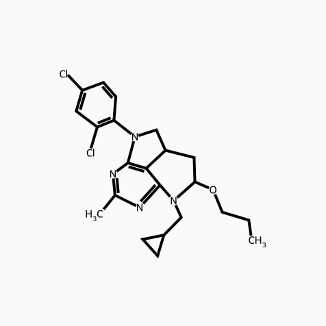 CCCOC1CC2CN(c3ccc(Cl)cc3Cl)c3nc(C)nc(c32)N1CC1CC1